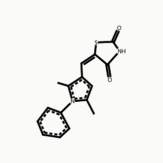 Cc1cc(/C=C2/SC(=O)NC2=O)c(C)n1-c1ccccc1